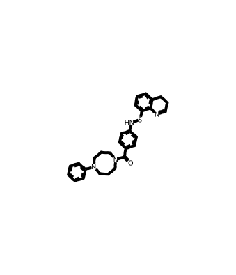 O=C(c1ccc(NSc2cccc3c2N=CCC3)cc1)N1CCCN(c2ccccc2)CCC1